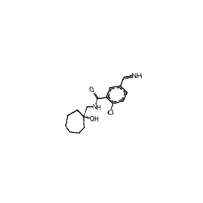 N=Cc1ccc(Cl)c(C(=O)NCC2(O)CCCCCC2)c1